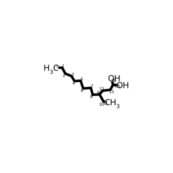 CCCCCCCCCC(CC)CCC(O)O